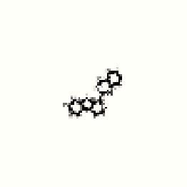 c1ccc2nc(-c3nccc4c3sc3ccccc34)ncc2c1